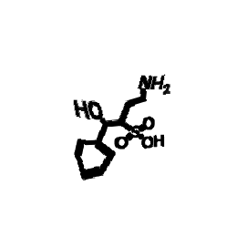 NCCC([C@H](O)c1ccccc1)S(=O)(=O)O